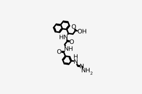 NN=CNc1cccc(C(=O)NCC(=O)NC(CC(=O)O)c2cccc3ccccc23)c1